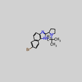 CC(C)(C)N1CCCC1c1nc2ccc3cc(Br)ccc3c2[nH]1